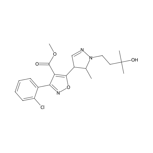 COC(=O)c1c(-c2ccccc2Cl)noc1C1C=NN(CCC(C)(C)O)C1C